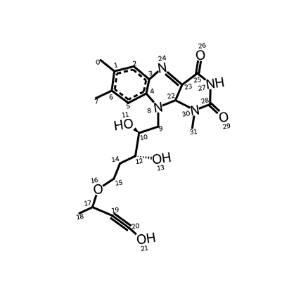 Cc1cc2c(cc1C)N(C[C@H](O)[C@H](O)CCOC(C)C#CO)C1C(=N2)C(=O)NC(=O)N1C